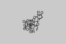 O=c1ccn([C@@H]2O[C@]3(CF)C(OP(=O)(O)OP(=O)(O)OP(=O)(O)O)[C@]3(O)[C@H]2Cl)c(=O)[nH]1